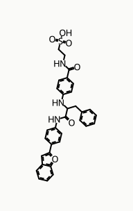 O=C(NCCS(=O)(=O)O)c1ccc(NC(Cc2ccccc2)C(=O)Nc2ccc(-c3cc4ccccc4o3)cc2)cc1